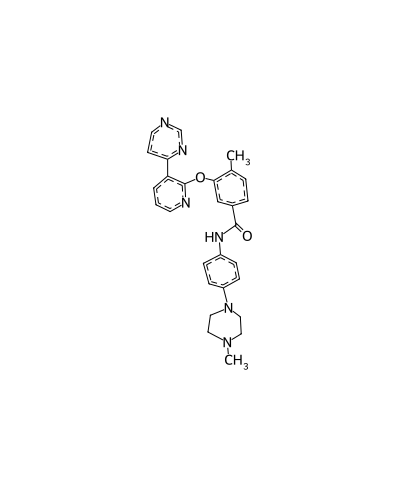 Cc1ccc(C(=O)Nc2ccc(N3CCN(C)CC3)cc2)cc1Oc1ncccc1-c1ccncn1